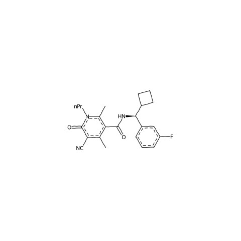 CCCn1c(C)c(C(=O)N[C@H](c2cccc(F)c2)C2CCC2)c(C)c(C#N)c1=O